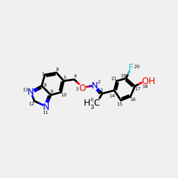 C/C(=N\OCc1ccc2c(c1)=NCN=2)c1ccc(O)c(F)c1